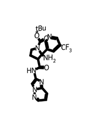 CC(C)(C)OC(=O)N1CCC(C(=O)Nc2cn3ncccc3n2)C1(N)c1cncc(C(F)(F)F)c1